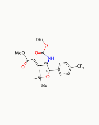 COC(=O)C=C[C@@H](NC(=O)OC(C)(C)C)[C@@H](O[Si](C)(C)C(C)(C)C)c1ccc(C(F)(F)F)cc1